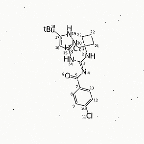 CC1(N/C(=N/C(=O)c2ccc(Cl)cc2)Nc2cc(C(C)(C)C)[nH]n2)CCC1